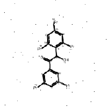 CC(C)c1[c]c(C(C)C)cc(C(=O)C(O)c2c(C(C)C)cc(C(C)C)cc2C(C)C)c1